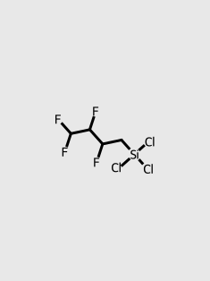 FC(F)C(F)C(F)C[Si](Cl)(Cl)Cl